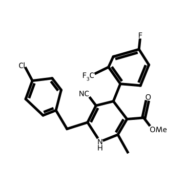 COC(=O)C1=C(C)NC(Cc2ccc(Cl)cc2)=C(C#N)C1c1ccc(F)cc1C(F)(F)F